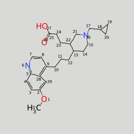 COc1ccc2nccc(CCCC3CCN(CC4CC4)CC3CCC(=O)O)c2c1